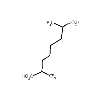 O=C(O)C(CCCCC(C(=O)O)C(F)(F)F)C(F)(F)F